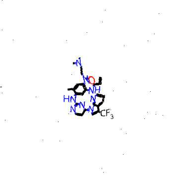 C=CC(=O)Nc1cc(Nc2nccc(-n3cc(C(F)(F)F)c4cccnc43)n2)c(C)cc1N(C)CCN(C)C